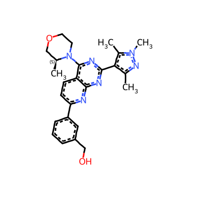 Cc1nn(C)c(C)c1-c1nc(N2CCOC[C@@H]2C)c2ccc(-c3cccc(CO)c3)nc2n1